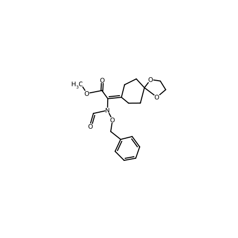 COC(=O)C(=C1CCC2(CC1)OCCO2)N(C=O)OCc1ccccc1